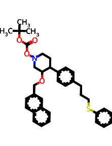 CC(C)(C)OC(=O)ON1CCC(c2ccc(CCCSc3ccccc3)cc2)C(OCc2ccc3ccccc3c2)C1